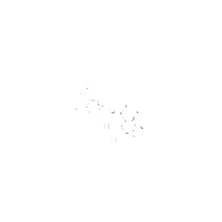 COC(=O)c1cc(/C=C/C(=O)n2c(O)c(O)cc(Cl)c2=O)ccc1OC